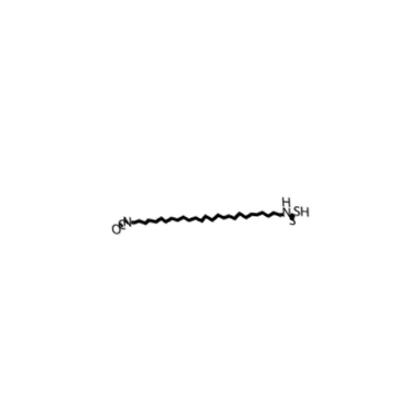 O=C=NCCCCCCCCCCCCCCCCCCCCCCCCCCCNC(=S)S